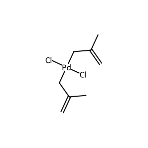 C=C(C)[CH2][Pd]([Cl])([Cl])[CH2]C(=C)C